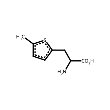 Cc1ccc(CC(N)C(=O)O)s1